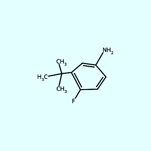 CC(C)(C)c1cc(N)ccc1F